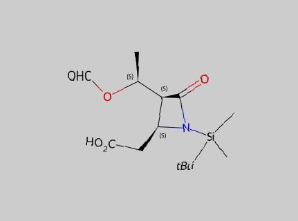 C[C@H](OC=O)[C@H]1C(=O)N([Si](C)(C)C(C)(C)C)[C@H]1CC(=O)O